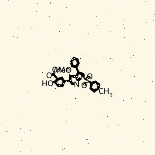 COC(=O)c1cc(-c2cnc3c(c2)c(-c2ccccc2OC)cn3S(=O)(=O)c2ccc(C)cc2)ccc1O